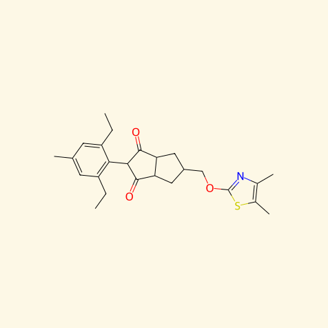 CCc1cc(C)cc(CC)c1C1C(=O)C2CC(COc3nc(C)c(C)s3)CC2C1=O